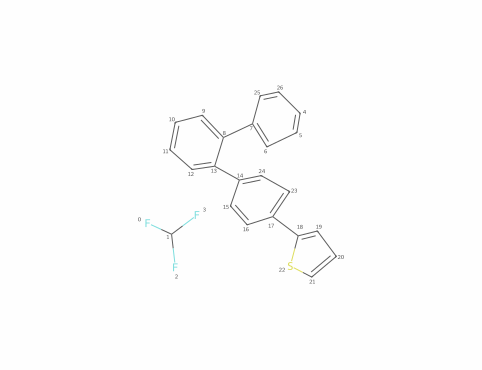 FC(F)F.c1ccc(-c2ccccc2-c2ccc(-c3cccs3)cc2)cc1